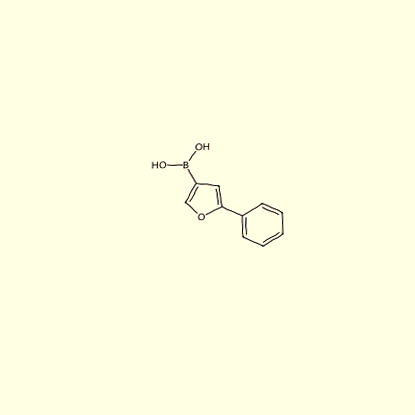 OB(O)c1coc(-c2ccccc2)c1